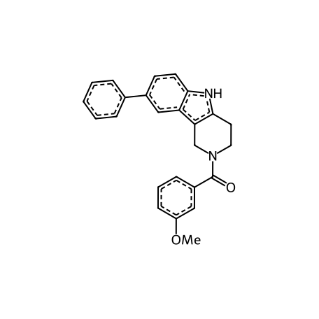 COc1cccc(C(=O)N2CCc3[nH]c4ccc(-c5ccccc5)cc4c3C2)c1